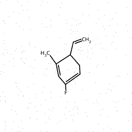 C=CC1CC=C(F)C=C1C